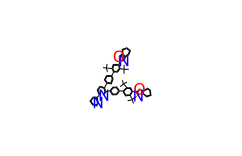 CC(C)(C)c1cc(-c2nc3ccccc3o2)c(C(C)(C)C)cc1-c1ccc(-c2ccc(-c3ccccn3)nc2-c2ccc(-c3cc(C(C)(C)C)c(-c4nc5ccccc5o4)cc3C(C)(C)C)cc2)cc1